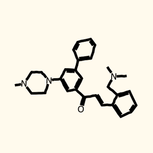 CN(C)Cc1ccccc1/C=C/C(=O)c1cc(-c2ccccc2)cc(N2CCN(C)CC2)c1